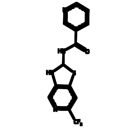 O=C(NC1Nc2cnc(C(F)(F)F)cc2S1)c1cccnc1